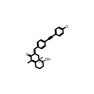 CC1=C2CCC[C@H](O)[C@@]2(C)C/C(=C\c2ccc(C#Cc3ccc(Cl)cc3)cc2)C1=O